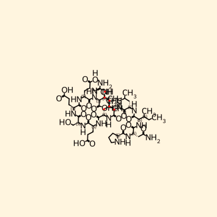 CC[C@H](C)[C@H](NC(=O)[C@H](CC(N)=O)NC(=O)[C@@H]1CCCN1)C(=O)N[C@@H](CC(C)C)C(=O)N[C@@H](CCCNC(=N)N)C(=O)N[C@@H](CC(C)C)C(=O)N[C@@H](CCC(=O)O)C(=O)N[C@@H](CO)C(=O)N[C@@H](CCC(=O)O)C(=O)N[C@@H](CCC(=O)O)C(=O)N[C@H](C(=O)O)[C@@H](C)O